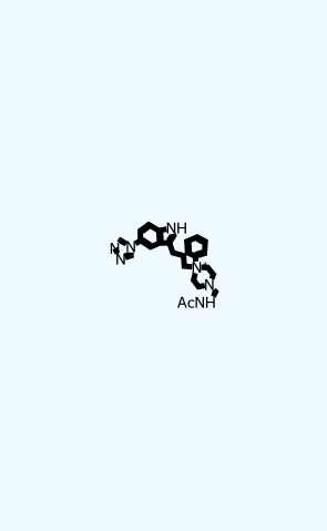 CC(=O)NCN1CC[N+](CCCc2c[nH]c3ccc(-n4cnnc4)cc23)(c2ccccc2)CC1